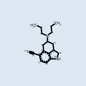 CCCN(CCC)C1Cc2c(C#N)ccc3c2C(CN3)C1